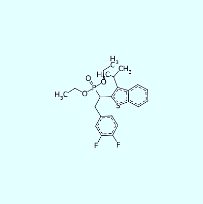 CCOP(=O)(OCC)C(Cc1ccc(F)c(F)c1)c1sc2ccccc2c1C(C)C